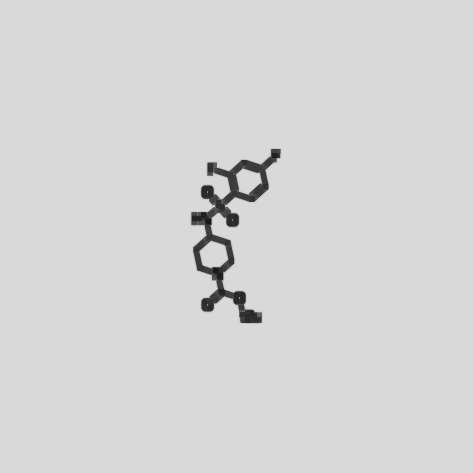 CC(C)(C)OC(=O)N1CCC(NS(=O)(=O)c2ccc(F)cc2F)CC1